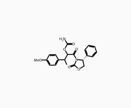 COc1ccc(C(C)C(OC(N)=O)C(=O)N2C(=O)OC[C@H]2c2ccccc2)cc1